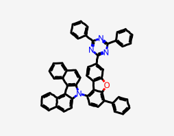 c1ccc(-c2nc(-c3ccccc3)nc(-c3ccc4c(c3)oc3c(-c5ccccc5)ccc(-n5c6ccc7ccccc7c6c6c7ccccc7ccc65)c34)n2)cc1